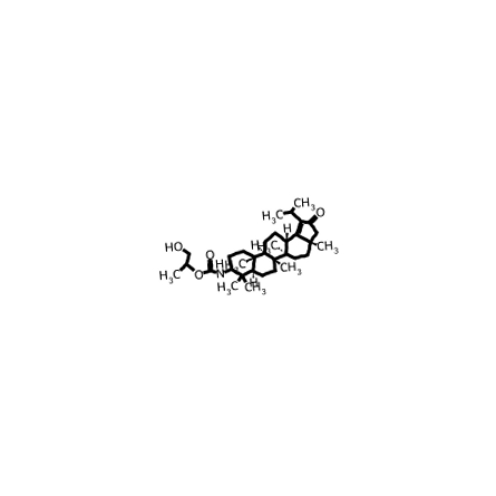 CC(CO)OC(=O)NC1CC[C@]2(C)[C@H]3CC[C@@H]4C5=C(C(C)C)C(=O)C[C@]5(C)CC[C@@]4(C)[C@]3(C)CC[C@H]2C1(C)C